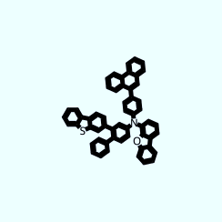 c1ccc(-c2ccc(N(c3ccc(-c4cc5ccccc5c5ccccc45)cc3)c3cccc4c3oc3ccccc34)cc2-c2ccc3c(c2)sc2ccccc23)cc1